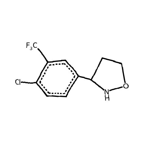 FC(F)(F)c1cc(C2CCON2)ccc1Cl